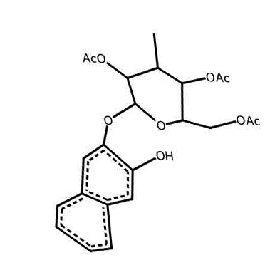 CC(=O)OCC1OC(Oc2cc3ccccc3cc2O)C(OC(C)=O)C(C)C1OC(C)=O